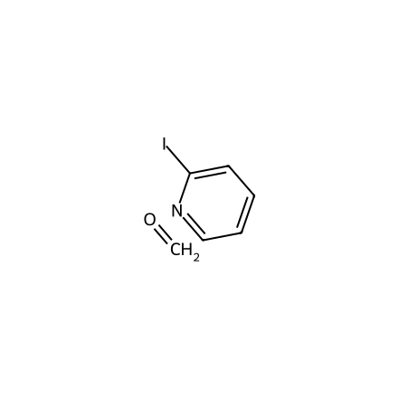 C=O.Ic1ccccn1